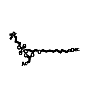 CCCCCCCCCCCCCCCCCCOCC(COP(=O)([O-])OCCC[N+](C)(C)C)OC(=O)CC(C)=O